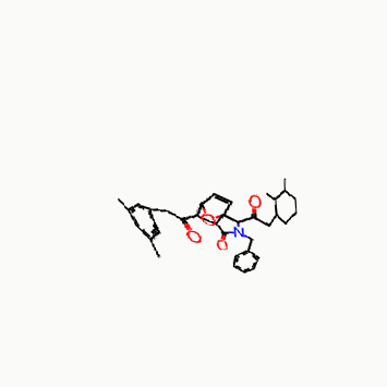 Cc1cc(C)cc(CC(=O)C2C3C=CC4(O3)C2C(=O)N(Cc2ccccc2)C4C(=O)CC2CCCC(C)C2C)c1